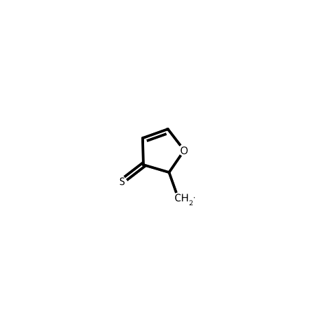 [CH2]C1OC=CC1=S